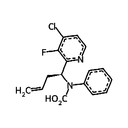 C=CC[C@@H](c1nccc(Cl)c1F)N(C(=O)O)c1ccccc1